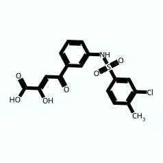 Cc1ccc(S(=O)(=O)Nc2cccc(C(=O)/C=C(\O)C(=O)O)c2)cc1Cl